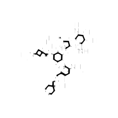 NC[C@@H]1O[C@H](O[C@H]2[C@@H](O)[C@H](O[C@@H]3[C@@H](O)[C@H](NC(=O)C4(O)CC(N)C4)C[C@H](N)[C@H]3O[C@H]3OC(CNCC4(O)CCNCC4)=CC[C@H]3N)O[C@@H]2CO)[C@H](N)[C@@H](O)[C@@H]1O